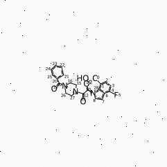 O=C(O)c1ccc(F)c2ccn(C(=O)C(=O)N3CCN(C(=O)c4ccccc4)CC3)c12